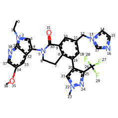 CCn1cc(N2CCc3c(cc(Cn4ccnc4)cc3-c3cn(C)nc3C(F)(F)F)C2=O)c2cc(OC)cnc21